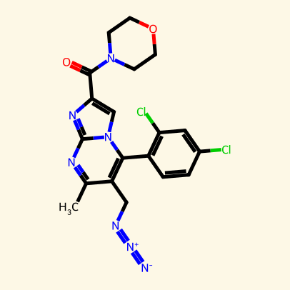 Cc1nc2nc(C(=O)N3CCOCC3)cn2c(-c2ccc(Cl)cc2Cl)c1CN=[N+]=[N-]